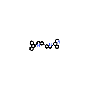 c1ccc2c(c1)cc(-c1ccc3ccc(-c4ccc5ccc(-c6cc7cccnc7c7ccccc67)nc5c4)cc3n1)c1ccccc12